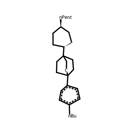 CCCCC[C@H]1CC[C@H](C23CCC(c4ccc(CCCC)cc4)(CC2)CC3)CC1